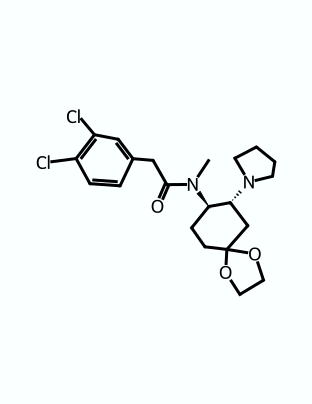 CN(C(=O)Cc1ccc(Cl)c(Cl)c1)[C@@H]1CCC2(C[C@H]1N1CCCC1)OCCO2